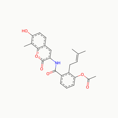 CC(=O)Oc1cccc(C(=O)Nc2cc3ccc(O)c(C)c3oc2=O)c1CC=C(C)C